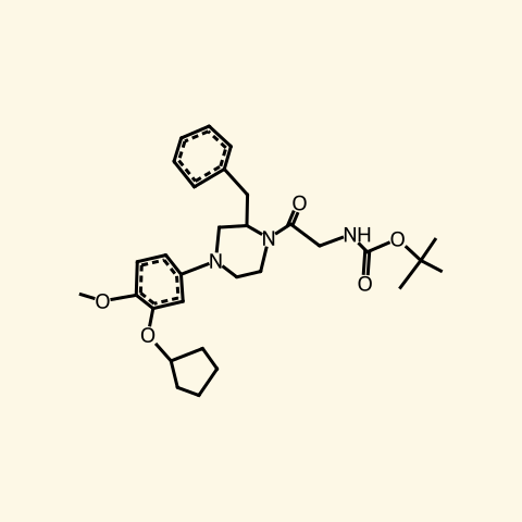 COc1ccc(N2CCN(C(=O)CNC(=O)OC(C)(C)C)C(Cc3ccccc3)C2)cc1OC1CCCC1